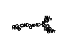 CCCS(=O)(=O)Nc1cccc(-c2nc(C3CCN(C4CN(C(=O)CC5CCN(c6ccc([C@@H]7CCC(=O)NC7=O)cc6)CC5)C4)CC3)sc2-c2ccnc(N)n2)c1F